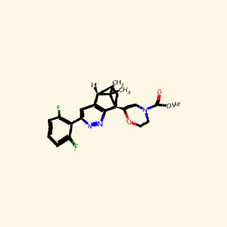 COC(=O)N1CCOC([C@@]23CC[C@@H](c4cc(-c5c(F)cccc5F)nnc42)C3(C)C)C1